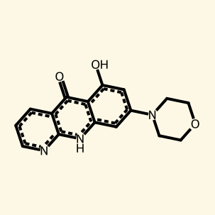 O=c1c2cccnc2[nH]c2cc(N3CCOCC3)cc(O)c12